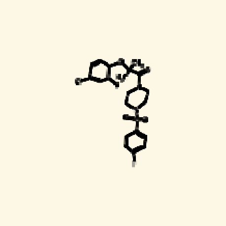 CC(C)(Oc1ccc(Cl)cc1F)C(=O)N1CCN(S(=O)(=O)c2ccc(F)cc2)CC1